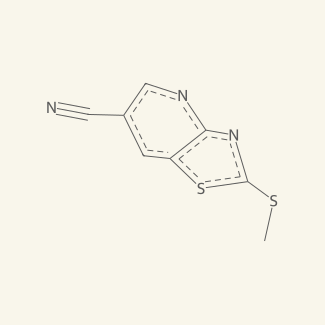 CSc1nc2ncc(C#N)cc2s1